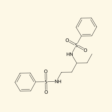 CCC(CCNS(=O)(=O)c1ccccc1)NS(=O)(=O)c1ccccc1